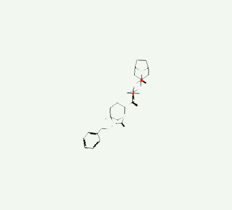 CC(C)(C)OC(=O)N1C2CCC1CC(ONC(=O)[C@@H]1CC[C@@H]3CN1C(=O)N3OCc1ccccc1)C2